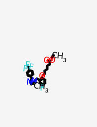 CCOC(=O)CCCCCOc1ccc(F)cc1Cn1c(C)cnc1-c1ccc(C(F)(F)F)cc1